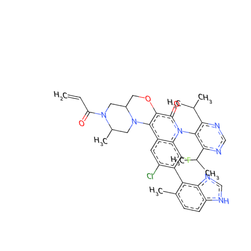 C=CC(=O)N1CC2COc3c(c4cc(Cl)c(-c5c(C)ccc6[nH]cnc56)c(F)c4n(-c4c(C(C)C)ncnc4C(C)C)c3=O)N2CC1C